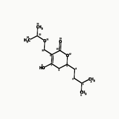 CC(C)CCC1CC(O)=C(COC(C)C)C(=O)O1